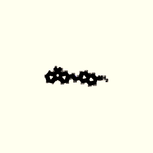 CC1(C)c2ccccc2-c2ccc(/C=C/c3ccc4cc(N)ccc4c3)cc21